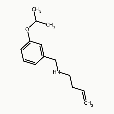 C=CCCNCc1cccc(OC(C)C)c1